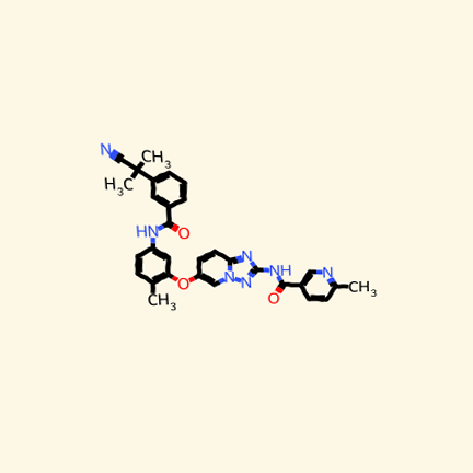 Cc1ccc(C(=O)Nc2nc3ccc(Oc4cc(NC(=O)c5cccc(C(C)(C)C#N)c5)ccc4C)cn3n2)cn1